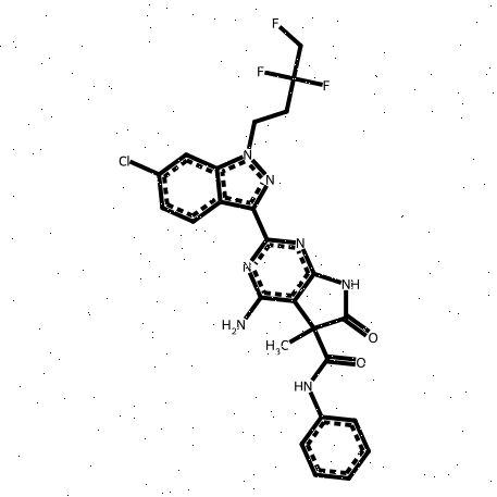 CC1(C(=O)Nc2ccccc2)C(=O)Nc2nc(-c3nn(CCC(F)(F)CF)c4cc(Cl)ccc34)nc(N)c21